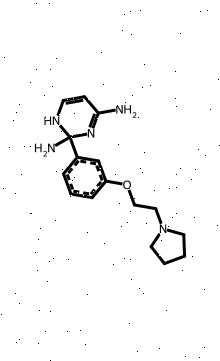 NC1=NC(N)(c2cccc(OCCN3CCCC3)c2)NC=C1